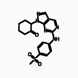 CS(=O)(=O)c1ccc(Nc2ncc3cnn(C4CCCCC4=O)c3n2)cc1